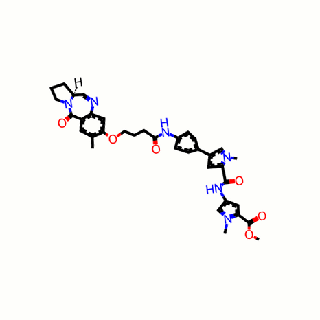 COC(=O)c1cc(NC(=O)c2cc(-c3ccc(NC(=O)CCCOc4cc5c(cc4C)C(=O)N4CCC[C@H]4C=N5)cc3)cn2C)cn1C